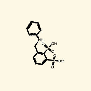 O=S(=O)(O)c1cccc(CNc2[c]cccc2)c1S(=O)(=O)O